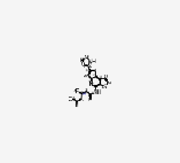 C=C(/C=C(/F)CC(C)Cl)Nc1nc2c(c3ccsc13)CC(c1nnn[nH]1)=C2